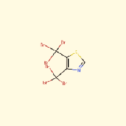 BrC(Br)(Br)c1ncsc1C(Br)(Br)Br